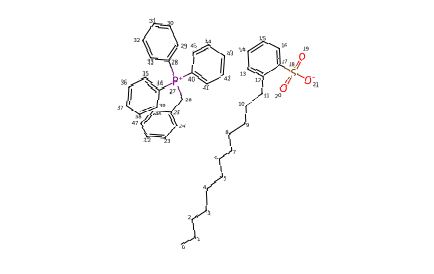 CCCCCCCCCCCCc1ccccc1S(=O)(=O)[O-].c1ccc(C[P+](c2ccccc2)(c2ccccc2)c2ccccc2)cc1